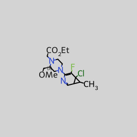 CCOC(=O)CN1CCN(C2=C(F)C3(Cl)C(C)C3C=N2)C[C@H]1COC